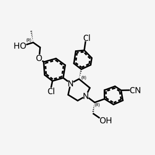 C[C@@H](O)COc1ccc(N2CCN([C@@H](CO)c3ccc(C#N)cc3)C[C@H]2c2ccc(Cl)cc2)c(Cl)c1